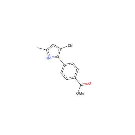 COC(=O)c1ccc(-c2[nH]c(C)cc2C#N)cc1